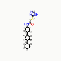 O=C(CSc1nnc[nH]1)Nc1ccc(-c2ccc(C3CCCCC3)cc2)cc1